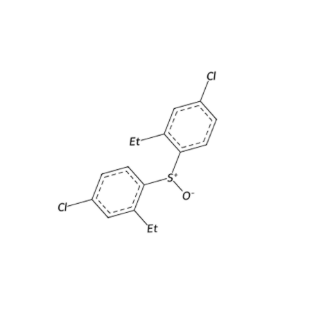 CCc1cc(Cl)ccc1[S+]([O-])c1ccc(Cl)cc1CC